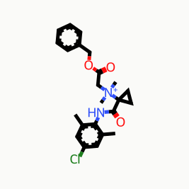 Cc1cc(Cl)cc(C)c1NC(=O)C1([N+](C)(C)CC(=O)OCc2ccccc2)CC1